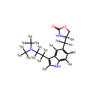 [2H]c1[nH]c2c([2H])c([2H])c(C([2H])([2H])[C@@]3([2H])COC(=O)N3)c([2H])c2c1C([2H])([2H])C([2H])([2H])N(C([2H])([2H])[2H])C([2H])([2H])[2H]